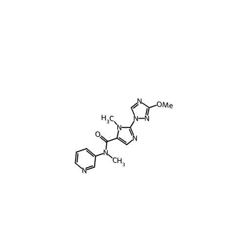 COc1ncn(-c2ncc(C(=O)N(C)c3cccnc3)n2C)n1